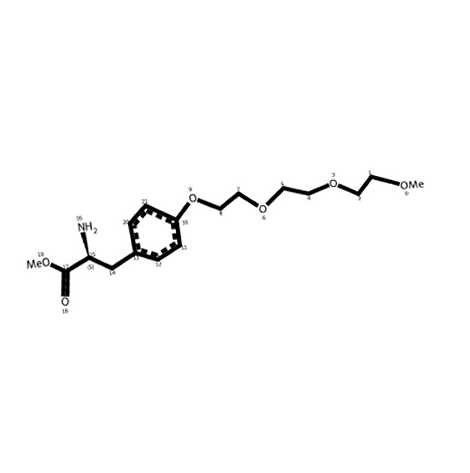 COCCOCCOCCOc1ccc(C[C@H](N)C(=O)OC)cc1